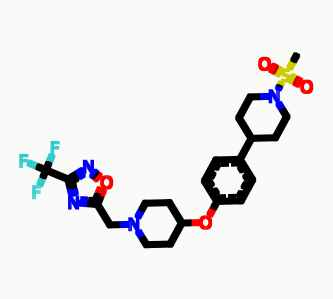 CS(=O)(=O)N1CCC(c2ccc(OC3CCN(Cc4nc(C(F)(F)F)no4)CC3)cc2)CC1